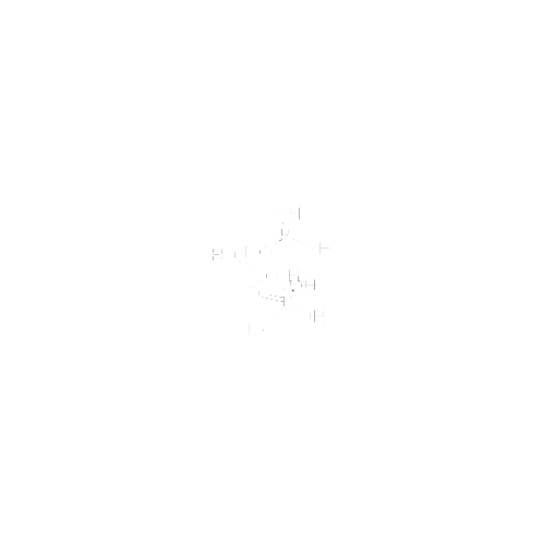 CC(=O)O.O=P(O)(O)O.OB(O)O